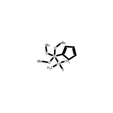 CC(C)(C)[O][Zr]([O]C(C)(C)C)([O]C(C)(C)C)([C]1=CC=CC1)[Ge]([CH3])([CH3])[F]